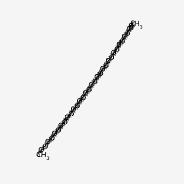 CCCOCCOCCOCCOCCOCCOCCOCCOCCOCCOCCOCCOCCOCCOCCOCCOCCOCCOCCOCCOCCOCCOCCOCCOCCOCCOCCOCCOCCOCCOCCOOOSC